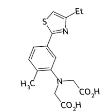 CCc1csc(-c2ccc(C)c(N(CC(=O)O)CC(=O)O)c2)n1